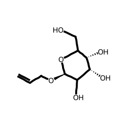 C=CCO[C@H]1OC(CO)[C@H](O)[C@H](O)C1O